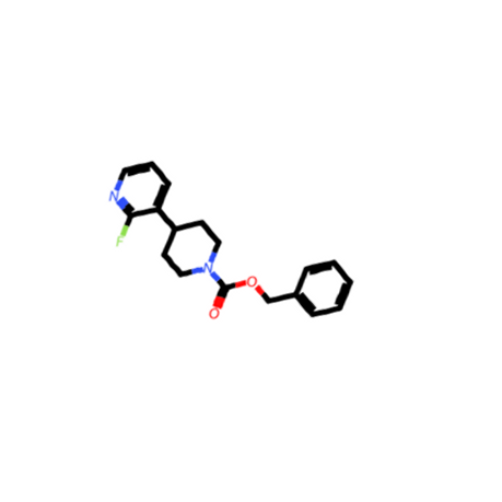 O=C(OCc1ccccc1)N1CCC(c2cccnc2F)CC1